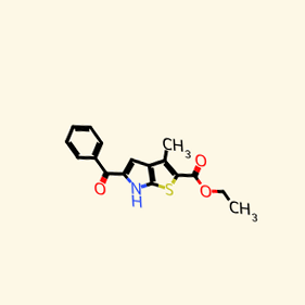 CCOC(=O)c1sc2[nH]c(C(=O)c3ccccc3)cc2c1C